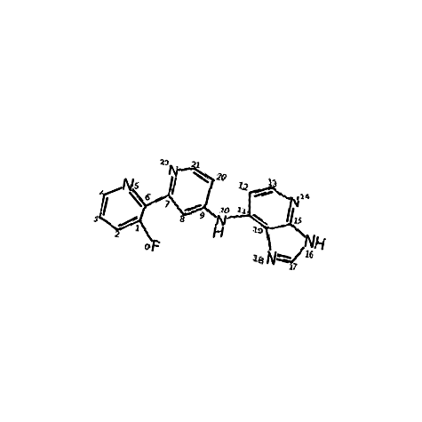 Fc1cccnc1-c1cc(Nc2ccnc3[nH]cnc23)ccn1